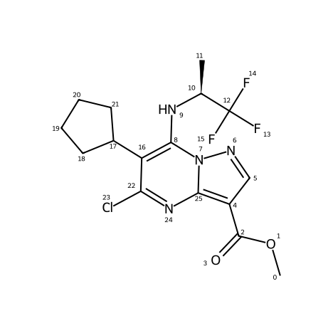 COC(=O)c1cnn2c(N[C@@H](C)C(F)(F)F)c(C3CCCC3)c(Cl)nc12